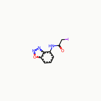 O=C(CI)Nc1cccc2onnc12